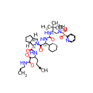 C#CCCC(NC(=O)[C@@H]1[C@H]2CCC[C@H]2CN1C(=O)[C@@H](NC(=O)N[C@H](CN(C)S(=O)(=O)c1ccccn1)C(C)(C)C)C1CCCCC1)C(=O)C(=O)NCC=C